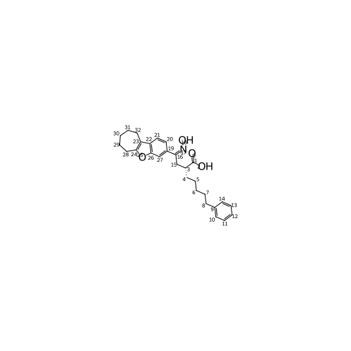 O=C(O)[C@H](CCCCCc1ccccc1)CC(=NO)c1ccc2c3c(oc2c1)CCCCC3